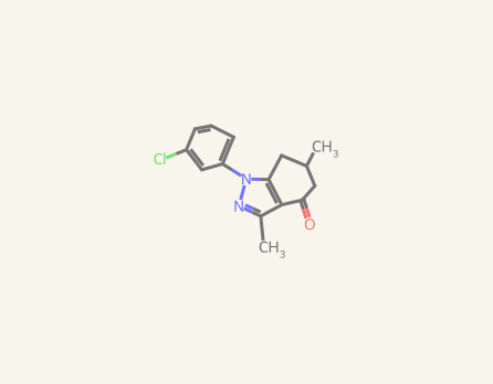 Cc1nn(-c2cccc(Cl)c2)c2c1C(=O)CC(C)C2